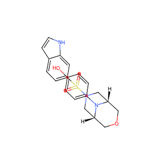 O=S(=O)(c1ccc2cc[nH]c2c1)N1C[C@H]2COC[C@@H](C1)N2c1ccc(O)cc1